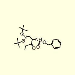 CCC(=O)C(CN(OC(C)(C)C)OC(C)(C)C)NC(=O)OCc1ccccc1